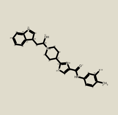 Cc1ccc(NC(=O)c2csc(C3CCN(C(O)CC4C=Nc5ccccc54)CC3)n2)cc1F